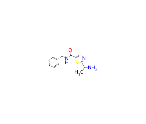 CC(N)c1ncc(C(=O)NCc2ccccc2)s1